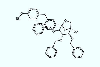 CCOc1ccc(Cc2cc([C@]34OC[C@](C(C)=O)(O3)[C@@H](OCc3ccccc3)[C@H](OCc3ccccc3)[C@H]4OCc3ccccc3)ccc2Cl)cc1